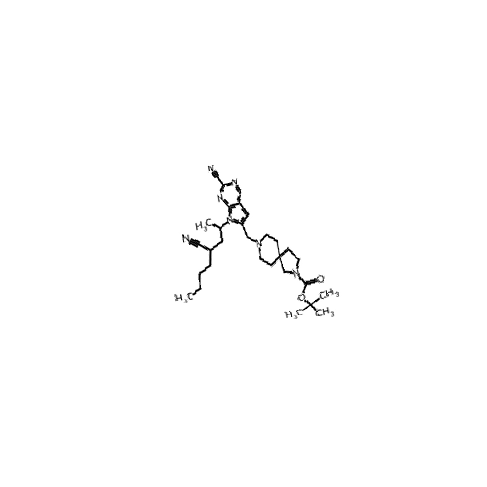 CCCCC(C#N)CC(C)n1c(CN2CCC3(CC2)CCN(C(=O)OC(C)(C)C)C3)cc2cnc(C#N)nc21